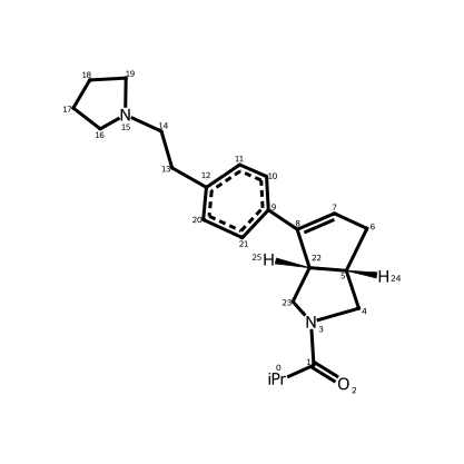 CC(C)C(=O)N1C[C@H]2CC=C(c3ccc(CCN4CCCC4)cc3)[C@H]2C1